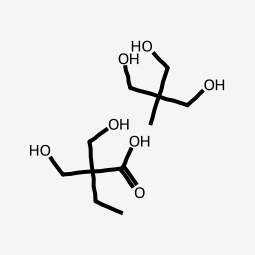 CC(CO)(CO)CO.CCC(CO)(CO)C(=O)O